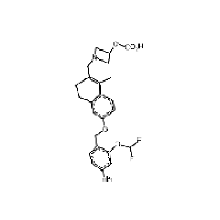 CCCc1ccc(COc2ccc3c(c2)CCC(CN2CC(OC(=O)O)C2)=C3C)c(OC(F)F)c1